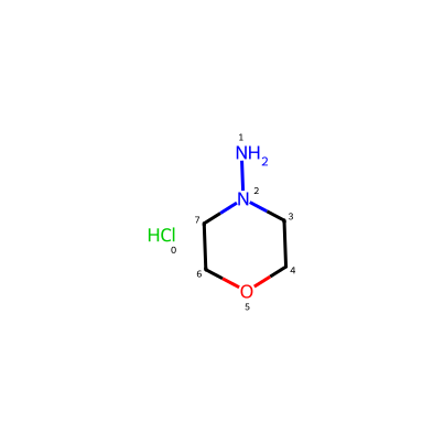 Cl.NN1CCOCC1